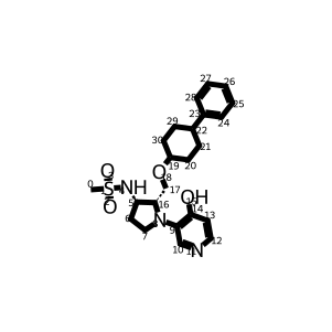 CS(=O)(=O)N[C@H]1CCN(c2cnccc2O)[C@H]1COC1CCC(c2ccccc2)CC1